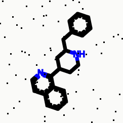 c1ccc(CC2CC(c3nccc4ccccc34)CCN2)cc1